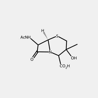 CC(=O)NC1C(=O)N2C(C(=O)O)C(C)(O)CS[C@H]12